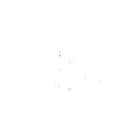 CC(=O)O.CC(C)CC(=O)O.CCCC(=O)O.CCCCCC(=O)O